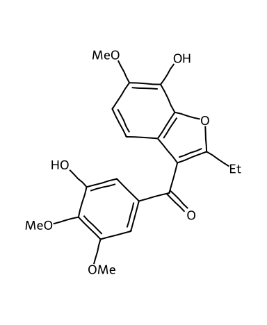 CCc1oc2c(O)c(OC)ccc2c1C(=O)c1cc(O)c(OC)c(OC)c1